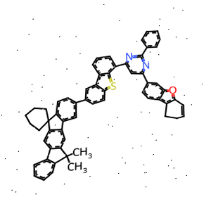 CC1(C)c2ccccc2-c2cc3c(cc21)-c1cc(-c2ccc4sc5c(-c6cc(-c7ccc8c9c(oc8c7)C=CCC9)nc(-c7ccccc7)n6)cccc5c4c2)ccc1C31CCCCC1